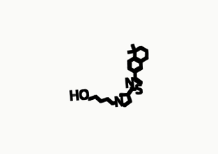 CC1(C)CCCc2cc(-c3csc(C4CCN(CCCCCO)C4)n3)ccc21